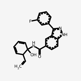 C=CC1C=CC=CC1(O)NC(=O)c1ccc2[nH]nc(-c3cccc(F)c3)c2c1